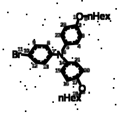 CCCCCCOc1ccc(N(c2ccc(Br)cc2)c2ccc(OCCCCCC)cc2)cc1